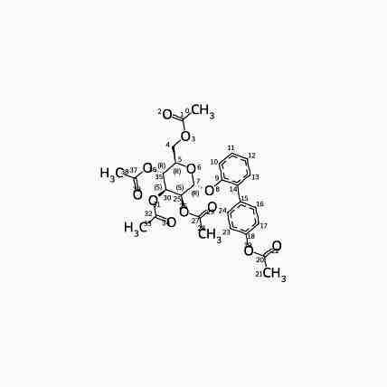 CC(=O)OC[C@H]1O[C@H](Oc2ccccc2-c2ccc(OC(C)=O)cc2)[C@@H](OC(C)=O)[C@@H](OC(C)=O)[C@@H]1OC(C)=O